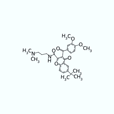 COc1ccc(C(=O)c2c(C(=O)NCCCN(C)C)oc3ccc(C(C)(C)C)cc3c2=O)cc1OC